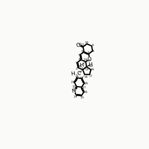 C[C@]12C=CC3=CC4=C(CCCC4=O)O[C@H]3[C@@H]1CC[C@@H]2c1ccc2ncccc2c1